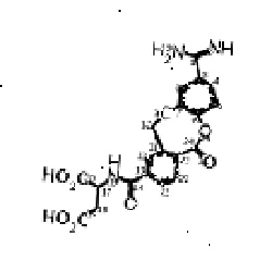 N=C(N)c1ccc2c(c1)CCc1cc(C(=O)NC(CC(=O)O)C(=O)O)ccc1C(=O)O2